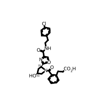 O=C(O)CCc1ccccc1C(=O)N1C[C@@H](O)C[C@H]1c1nc(C(=O)NCCc2ccc(Cl)cc2)co1